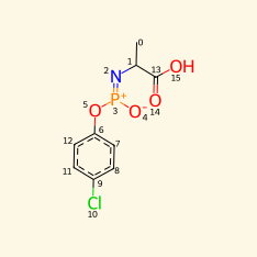 CC(/N=[P+](\[O-])Oc1ccc(Cl)cc1)C(=O)O